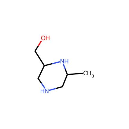 CC1CNCC(CO)N1